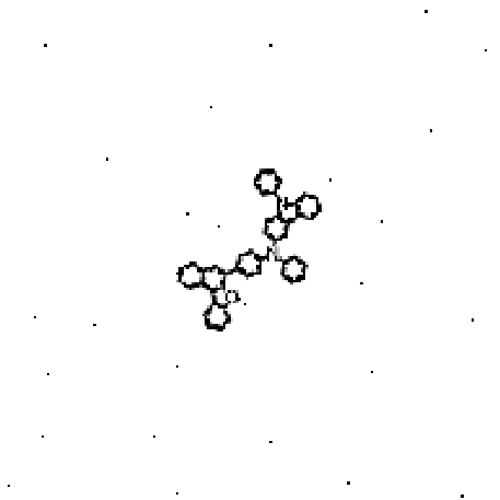 c1ccc(N(c2ccc(-c3cc4ccccc4c4c3oc3ccccc34)cc2)c2ccc3c(c2)c2ccccc2n3-c2ccccc2)cc1